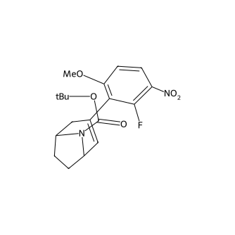 COc1ccc([N+](=O)[O-])c(F)c1C1=CC2CCC(C1)N2C(=O)OC(C)(C)C